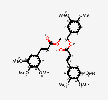 COc1ccc([C@@H](COC(=O)/C=C/c2cc(OC)c(OC)c(OC)c2)OC(=O)/C=C/c2cc(OC)c(OC)c(OC)c2)cc1OC